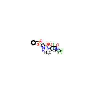 CC(C)C(NC(=O)[C@@H]1C[C@@H](S(=O)(=O)Cc2ccccc2)CN1)C(O)C(F)(F)C(=O)NCC(F)(F)F